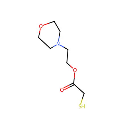 O=C(CS)OCCN1CCOCC1